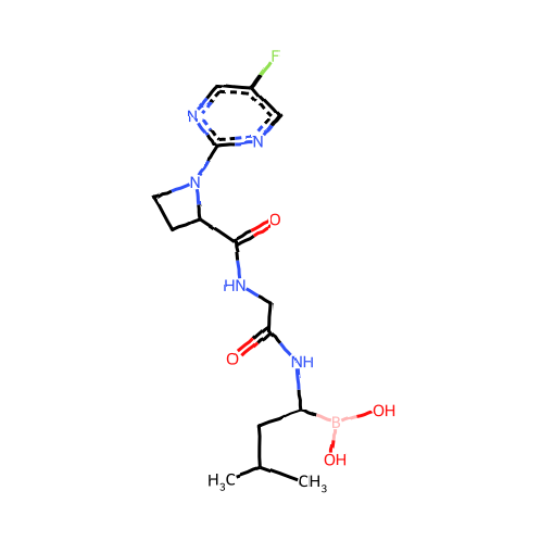 CC(C)CC(NC(=O)CNC(=O)C1CCN1c1ncc(F)cn1)B(O)O